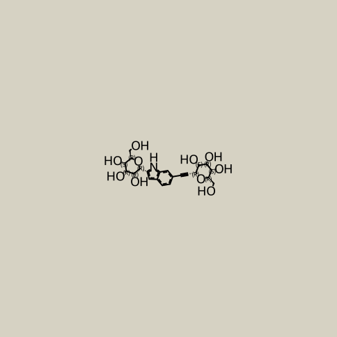 OC[C@H]1O[C@H](c2cc3ccc(C#C[C@H]4O[C@H](CO)[C@@H](O)[C@H](O)[C@@H]4O)cc3[nH]2)[C@H](O)[C@@H](O)[C@@H]1O